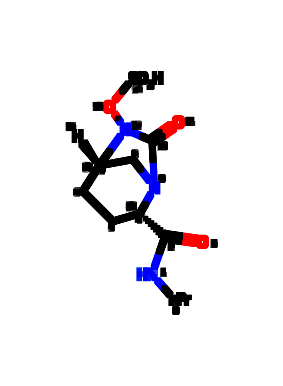 CCCNC(=O)[C@@H]1CC[C@H]2CN1C(=O)N2OS(=O)(=O)O